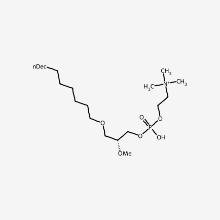 CCCCCCCCCCCCCCCCOC[C@H](COP(=O)(O)OCC[N+](C)(C)C)OC